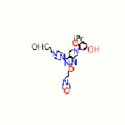 CC(C)Oc1ccc(O)cc1N1CCc2c(nc(OCCCN3CCOCC3)nc2N2CCN(C=CC=O)CC2)C1